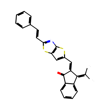 N#CC(C#N)=C1/C(=C/c2cc3sc(/C=C/c4ccccc4)nc3s2)C(=O)c2ccccc21